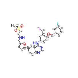 CS(=O)(=O)CCNCc1ccc(-c2ccc3ncnc(Nc4ccc(OCc5cccc(F)c5)c(CI)c4)c3c2)o1